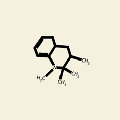 CC1CC2CC=CC=C2N(C)C1(C)C